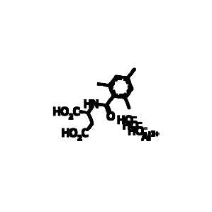 Cc1cc(C)c(C(=O)N[C@@H](CC(=O)O)C(=O)O)c(C)c1.[Al+3].[OH-].[OH-].[OH-]